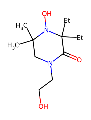 CCC1(CC)C(=O)N(CCO)CC(C)(C)N1O